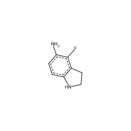 Nc1ccc2c(c1F)CCN2